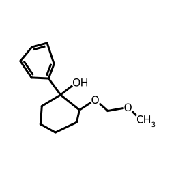 COCOC1CCCCC1(O)c1ccccc1